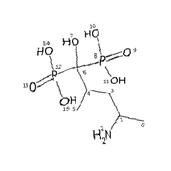 CC(N)CC(C)C(O)(P(=O)(O)O)P(=O)(O)O